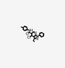 CCc1nn(-c2ccccc2)c2ncc(C(=O)Nc3ccc(C)cc3)c(Cl)c12